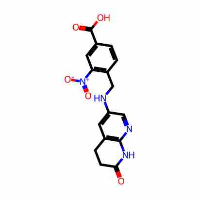 O=C1CCc2cc(NCc3ccc(C(=O)O)cc3[N+](=O)[O-])cnc2N1